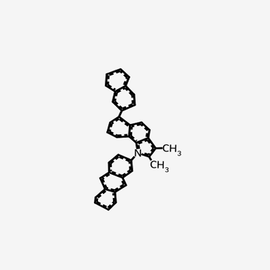 Cc1c(C)n(-c2ccc3cc4ccccc4cc3c2)c2c1ccc1c(-c3ccc4ccccc4c3)cccc12